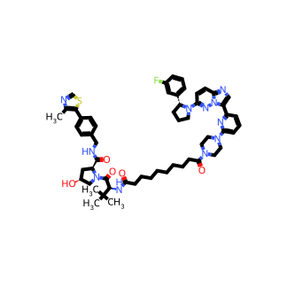 Cc1ncsc1-c1ccc(CNC(=O)[C@@H]2C[C@@H](O)CN2C(=O)[C@@H](NC(=O)CCCCCCCCC(=O)N2CCN(c3cccc(-c4cnc5ccc(N6CCC[C@@H]6c6cccc(F)c6)nn45)n3)CC2)C(C)(C)C)cc1